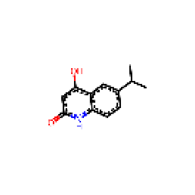 CC(C)c1ccc2[nH]c(=O)cc(O)c2c1